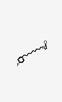 O=C1CCN1CCCCCCCCCc1ccc(F)cc1